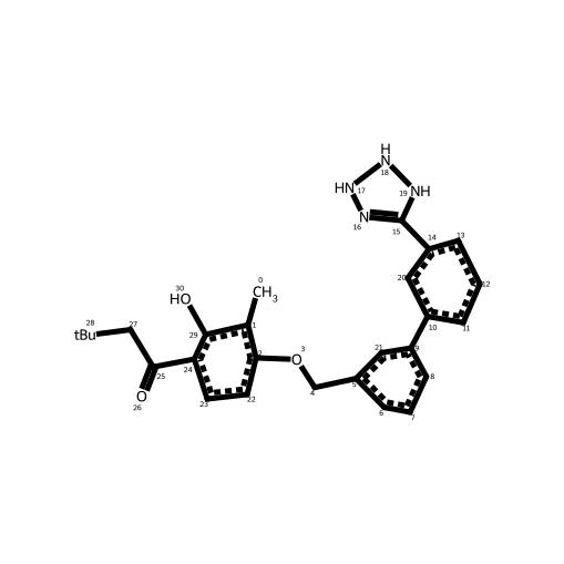 Cc1c(OCc2cccc(-c3cccc(C4=NNNN4)c3)c2)ccc(C(=O)CC(C)(C)C)c1O